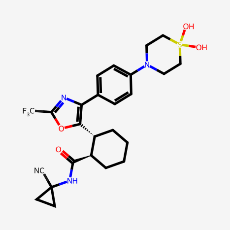 N#CC1(NC(=O)[C@@H]2CCCC[C@H]2c2oc(C(F)(F)F)nc2-c2ccc(N3CCS(O)(O)CC3)cc2)CC1